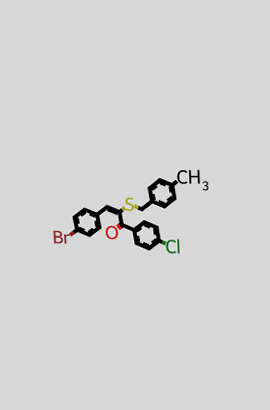 Cc1ccc(CSC(=Cc2ccc(Br)cc2)C(=O)c2ccc(Cl)cc2)cc1